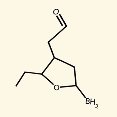 BC1CC(CC=O)C(CC)O1